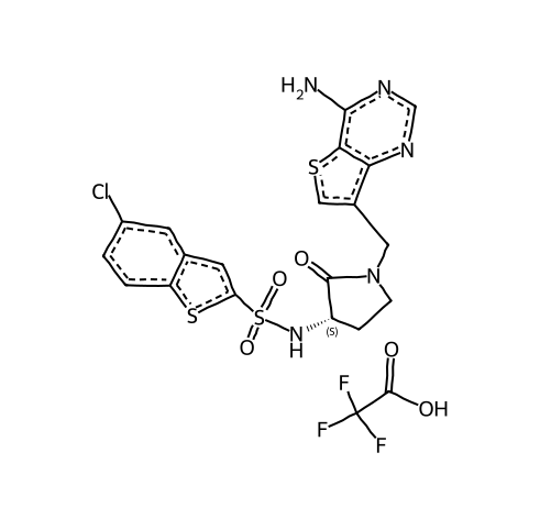 Nc1ncnc2c(CN3CC[C@H](NS(=O)(=O)c4cc5cc(Cl)ccc5s4)C3=O)csc12.O=C(O)C(F)(F)F